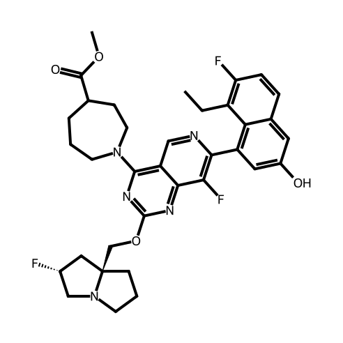 CCc1c(F)ccc2cc(O)cc(-c3ncc4c(N5CCCC(C(=O)OC)CC5)nc(OC[C@@]56CCCN5C[C@H](F)C6)nc4c3F)c12